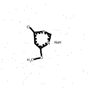 COc1cc(Cl)ncn1.[NaH]